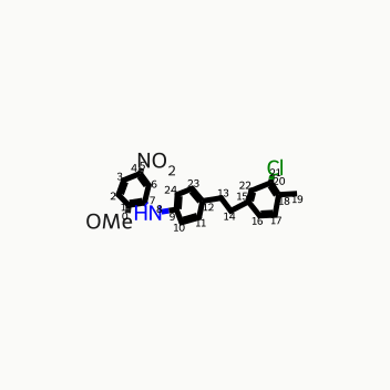 COc1ccc([N+](=O)[O-])cc1Nc1ccc(CCc2ccc(C)c(Cl)c2)cc1